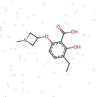 CCc1ccc(OC2CN(C)C2)c(C(=O)O)c1O